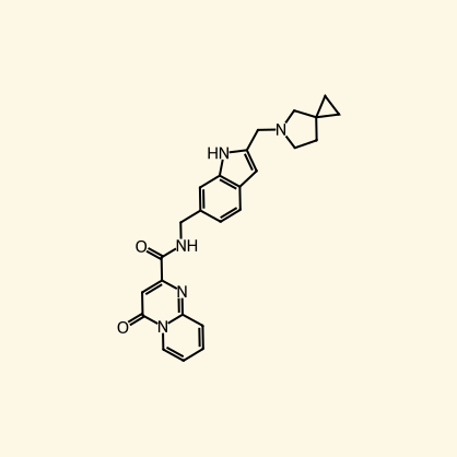 O=C(NCc1ccc2cc(CN3CCC4(CC4)C3)[nH]c2c1)c1cc(=O)n2ccccc2n1